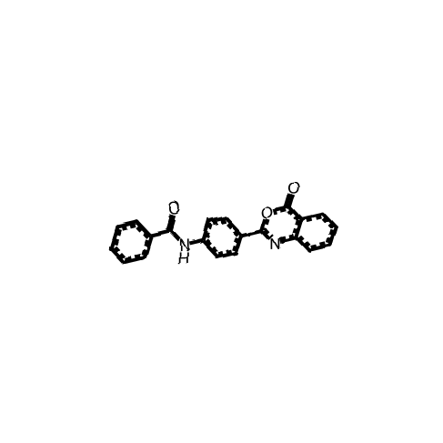 O=C(Nc1ccc(-c2nc3ccccc3c(=O)o2)cc1)c1ccccc1